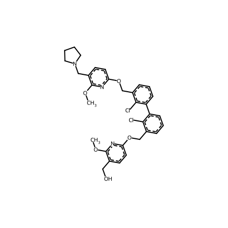 COc1nc(OCc2cccc(-c3cccc(COc4ccc(CN5CCCC5)c(OC)n4)c3Cl)c2Cl)ccc1CO